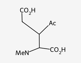 CNC(C(=O)O)C(CC(=O)O)C(C)=O